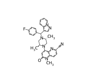 C[C@@H]1CN(c2cc(=O)n(C)c3ccc(C#N)nc23)[C@@H](C)CN1C(c1ccc(F)cc1)c1cnn2ccccc12